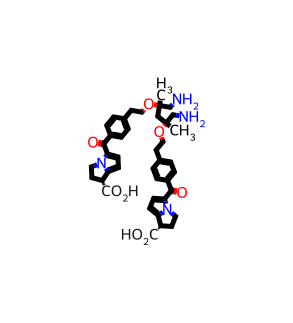 CC(CN)(CC(C)(CN)OCCc1ccc(C(=O)c2ccc3n2CC[C@@H]3C(=O)O)cc1)OCCc1ccc(C(=O)c2ccc3n2CC[C@@H]3C(=O)O)cc1